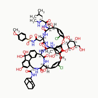 CN[C@H](CC(C)C)C(=O)N[C@H]1C(=O)N[C@@H](CC(=O)NS(=O)(=O)c2ccc(OC)cc2)C(=O)N[C@H]2C(=O)N[C@H]3C(=O)N[C@H](C(=O)N[C@H](C(=O)NC4C5CC6CC(C5)CC4C6)c4cc(O)cc5c4-c4cc3ccc4C5(O)O)[C@H](O)c3ccc(c(Cl)c3)Oc3cc2cc(c3O[C@@H]2O[C@H](CO)[C@@H](O)[C@H](O)[C@H]2C[C@H]2C[C@](C)(N)[C@H](O)[C@H](C)O2)Oc2ccc(cc2Cl)[C@H]1O